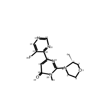 C[C@@H]1COCCN1c1nc(-c2ncncc2F)cc(=O)n1C